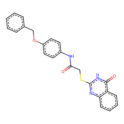 O=C(CSc1nc2ccccc2c(=O)[nH]1)Nc1ccc(OCc2ccccc2)cc1